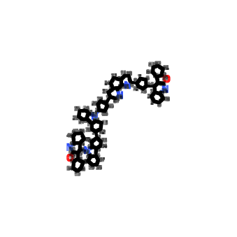 c1ccc2c(-c3ccc(-c4ccc5ccc6cc(-c7ccc(-n8c9ccccc9c9cc(-c%10ccc%11c%12ccccc%12n(-c%12c%13ccccc%13nc%13oc%14ccccc%14c%12%13)c%11c%10)ccc98)cc7)cnc6c5n4)cc3)c3c(nc2c1)oc1ccccc13